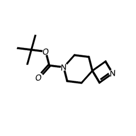 CC(C)(C)OC(=O)N1CCC2(C=NC2)CC1